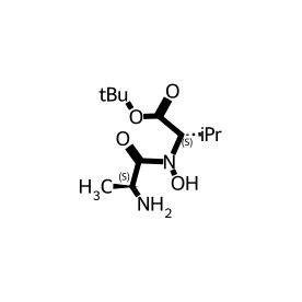 CC(C)[C@@H](C(=O)OC(C)(C)C)N(O)C(=O)[C@H](C)N